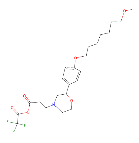 COCCCCCCCOc1ccc(C2CN(CCC(=O)OC(=O)C(F)(F)F)CCO2)cc1